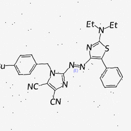 CCC(C)c1ccc(Cn2c(/N=N/c3nc(N(CC)CC)sc3-c3ccccc3)nc(C#N)c2C#N)cc1